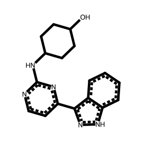 OC1CCC(Nc2nccc(-c3n[nH]c4ccccc34)n2)CC1